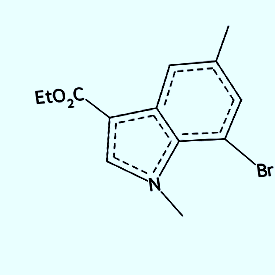 CCOC(=O)c1cn(C)c2c(Br)cc(C)cc12